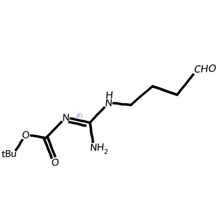 CC(C)(C)OC(=O)/N=C(\N)NCCCC=O